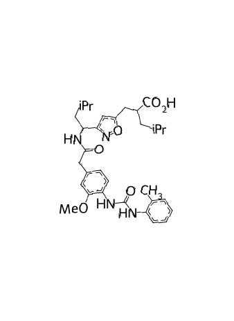 COc1cc(CC(=O)NC(CC(C)C)c2cc(CC(CC(C)C)C(=O)O)on2)ccc1NC(=O)Nc1ccccc1C